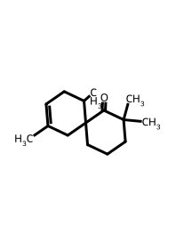 CC1=CCC(C)C2(CCCC(C)(C)C2=O)C1